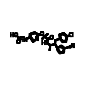 CC(NC(=O)C(C)(C)Oc1ccc(NCC(=O)O)cn1)C(Cc1ccc(Cl)cc1)c1cccc(C#N)c1